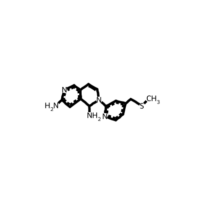 CSCc1ccnc(N2C=Cc3cnc(N)cc3C2N)c1